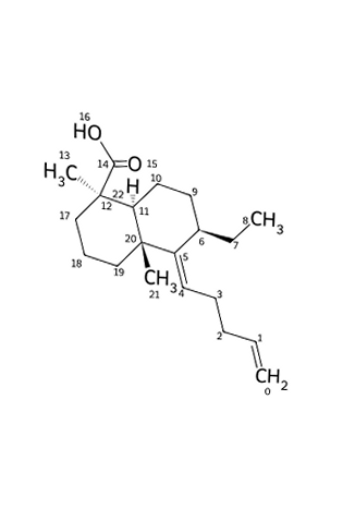 C=CCC/C=C1\[C@H](CC)CC[C@@H]2[C@](C)(C(=O)O)CCC[C@@]12C